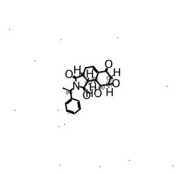 C[C@H](c1ccccc1)N1C(=O)[C@H]2[C@@H]3C(=CC[C@H]2C1=O)C(=O)[C@H]1O[C@H]1[C@H]3O